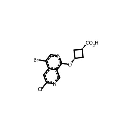 O=C(O)[C@H]1C[C@@H](Oc2ncc(Br)c3cc(Cl)ncc23)C1